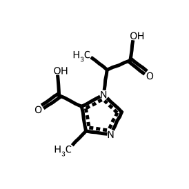 Cc1ncn(C(C)C(=O)O)c1C(=O)O